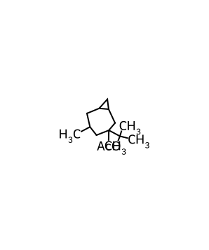 CC(=O)OC(C)(C)C1(C)CC(C)CC2CC2C1